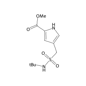 COC(=O)c1cc(CS(=O)(=O)NC(C)(C)C)c[nH]1